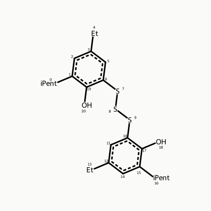 CCCC(C)c1cc(CC)cc(SSSc2cc(CC)cc(C(C)CCC)c2O)c1O